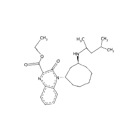 CCOC(=O)c1nc2ccccc2n([C@H]2CCCCC[C@H](NC(C)CC(C)C)C2)c1=O